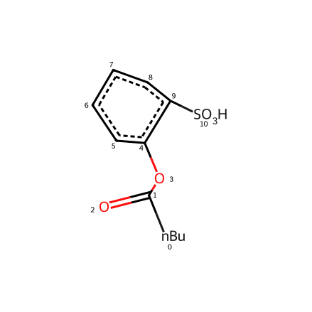 CCCCC(=O)Oc1ccccc1S(=O)(=O)O